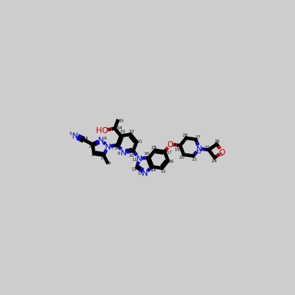 Cc1cc(C#N)nn1-c1nc(-n2cnc3ccc(OC4CCN(C5COC5)CC4)cc32)ccc1C(C)O